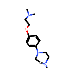 CN(C)CCOc1ccc(N2CCN(C)CC2)cc1